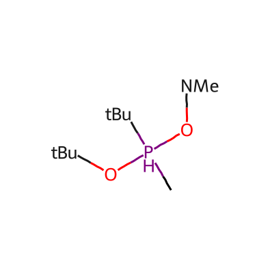 CNO[PH](C)(OC(C)(C)C)C(C)(C)C